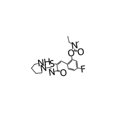 CCN(C)C(=O)Oc1cc(F)ccc1C=C1SC(N2CCCCN2)=NC1=O